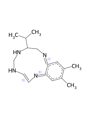 Cc1cc2/c(cc1C)=N/C=C/NCNC(C(C)C)C\N=2